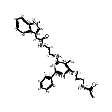 CC(=O)NCCNc1nc(-c2ccccc2)nc(NCCNC(=O)Cc2c[nH]c3ccccc23)c1C